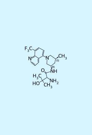 C[C@H]1C[C@@H](NC(=O)C(N)C(C)(C)O)CN(c2ccc(C(F)(F)F)c3ncccc23)C1